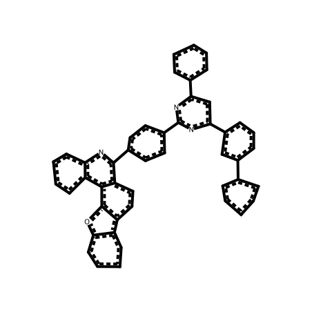 c1ccc(-c2cccc(-c3cc(-c4ccccc4)nc(-c4ccc(-c5nc6ccccc6c6c5ccc5c7ccccc7oc56)cc4)n3)c2)cc1